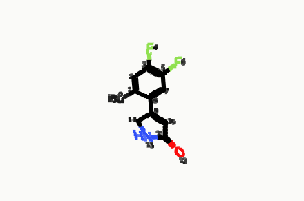 CCC(C)c1cc(F)c(F)cc1C1=CC(=O)NC1